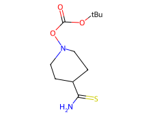 CC(C)(C)OC(=O)ON1CCC(C(N)=S)CC1